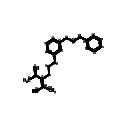 CC(=N)/C(CSSc1cccc(CSCc2ccccc2)c1)=C(/C)O